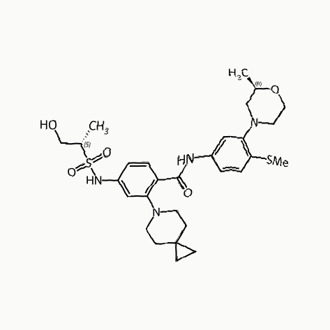 CSc1ccc(NC(=O)c2ccc(NS(=O)(=O)[C@@H](C)CO)cc2N2CCC3(CC2)CC3)cc1N1CCO[C@H](C)C1